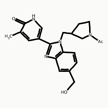 CC(=O)N1CCC(Cn2c(-c3c[nH]c(=O)c(C)c3)nc3cc(CO)ccc32)C1